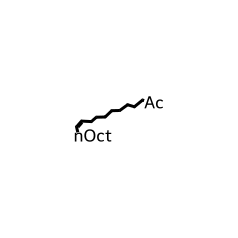 CCCCCCCC/C=C\CCCCCCCCC(C)=O